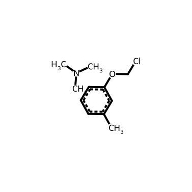 CN(C)C.Cc1cccc(OCCl)c1